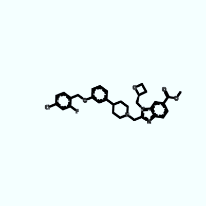 COC(=O)c1ccc2nc(CN3CCC(c4cccc(OCc5ccc(Cl)cc5F)c4)CC3)n(C[C@@H]3CCO3)c2c1